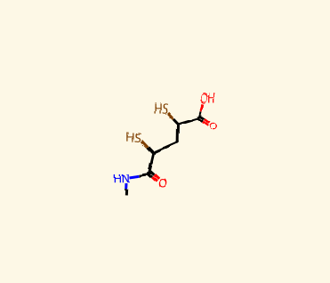 CNC(=O)C(S)CC(S)C(=O)O